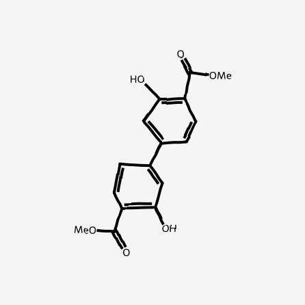 COC(=O)c1ccc(-c2ccc(C(=O)OC)c(O)c2)cc1O